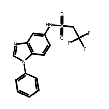 O=S(=O)(CC(F)(F)F)Nc1ccc2c(c1)ncn2-c1ccccc1